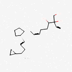 C=CC(O)(CO)C(O)CC/C=C\C[C@H]1CCC[C@@H]1/C=C/C[C@H](CCCCCC)C1CC1